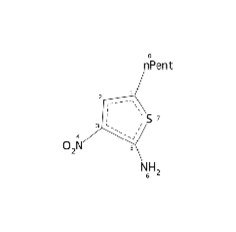 CCCCCc1cc([N+](=O)[O-])c(N)s1